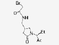 CC[C@@H](C(C)=O)N1CC(CNC(=O)CBr)CC1=O